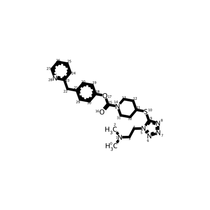 CN(C)CCn1nnnc1SC1CCN(C(=O)Oc2ccc(Cc3ccccn3)cc2)CC1